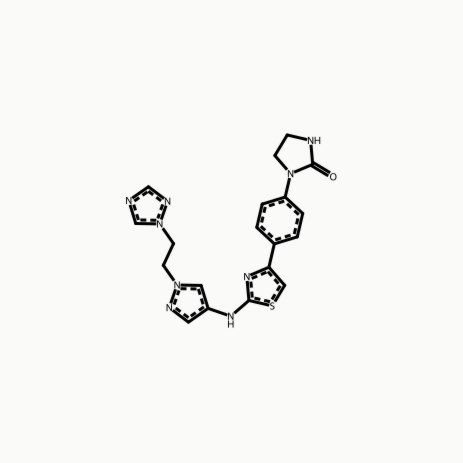 O=C1NCCN1c1ccc(-c2csc(Nc3cnn(CCn4cncn4)c3)n2)cc1